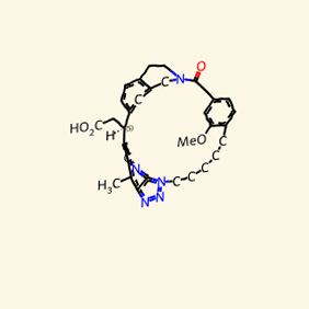 COc1cc2ccc1CCCCCn1nnc3c(C)c(cnc31)[C@@H](CC(=O)O)c1ccc3c(c1)CN(CC3)C2=O